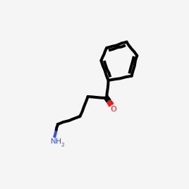 NCCCC(=O)c1ccccc1